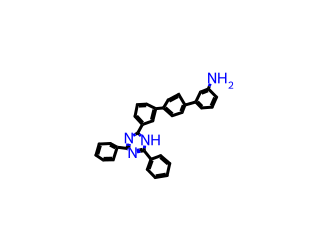 Nc1cccc(-c2ccc(-c3cccc(C4N=C(c5ccccc5)N=C(c5ccccc5)N4)c3)cc2)c1